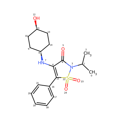 CC(C)N1C(=O)C(N[C@H]2CC[C@@H](O)CC2)=C(c2ccccc2)S1(=O)=O